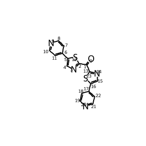 O=C(c1ncc(-c2ccncc2)s1)c1ncc(-c2ccncc2)s1